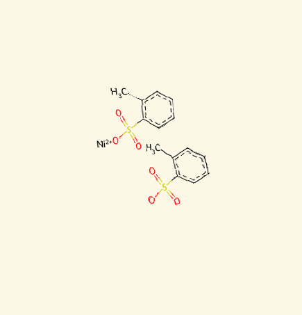 Cc1ccccc1S(=O)(=O)[O-].Cc1ccccc1S(=O)(=O)[O-].[Ni+2]